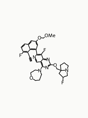 C#Cc1c(F)ccc2cc(OCOC)cc(-c3ncc4c(N5CCCOCC5)nc(OCC56CCCN5CC(F)C6)nc4c3F)c12